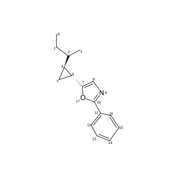 CCC(C)[C@@H]1C[C@H]1c1cnc(-c2ccccc2)o1